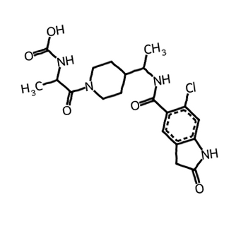 CC(NC(=O)O)C(=O)N1CCC(C(C)NC(=O)c2cc3c(cc2Cl)NC(=O)C3)CC1